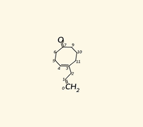 C=CCC1=CCCC(=O)CCC1